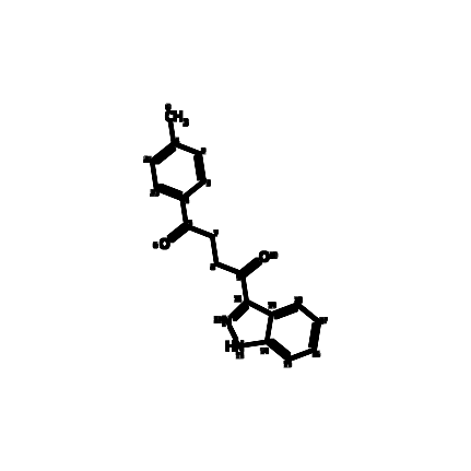 Cc1ccc(C(=O)CCC(=O)c2n[nH]c3ccccc23)cc1